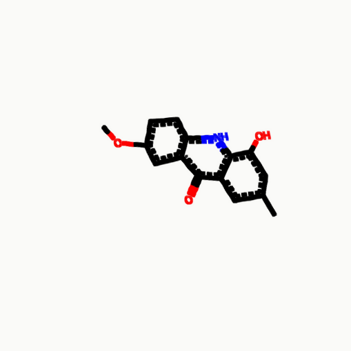 COc1ccc2[nH]c3c(O)cc(C)cc3c(=O)c2c1